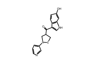 O=C(c1c[nH]c2cc(O)ccc12)C1CSN(c2cccnc2)C1